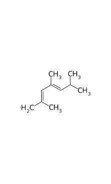 [CH2]C(C)=CC(C)=CC(C)C